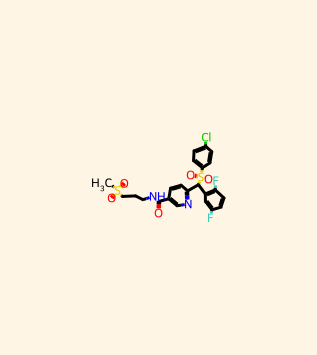 CS(=O)(=O)CCCNC(=O)c1ccc(C(c2cc(F)ccc2F)S(=O)(=O)c2ccc(Cl)cc2)nc1